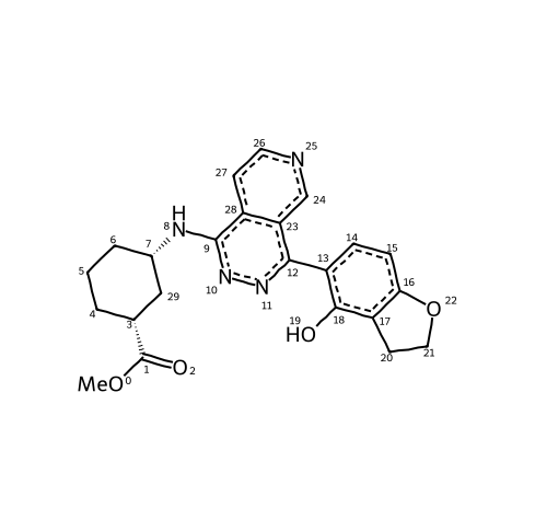 COC(=O)[C@@H]1CCC[C@H](Nc2nnc(-c3ccc4c(c3O)CCO4)c3cnccc23)C1